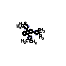 C=C/C=C\C(=C/C=C)c1ccc2c(C(/C=C\C=C)=C/C=C)c3ccccc3c(C(/C=C\C=C)=C/C=C)c2c1